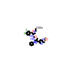 COCCN1C[C@@H](NC(=O)Nc2c(C)c(-c3cnc(C)c(N=S(C)(C)=O)c3)nn2-c2ccccc2)[C@H](c2ccc(F)c(F)c2)O1